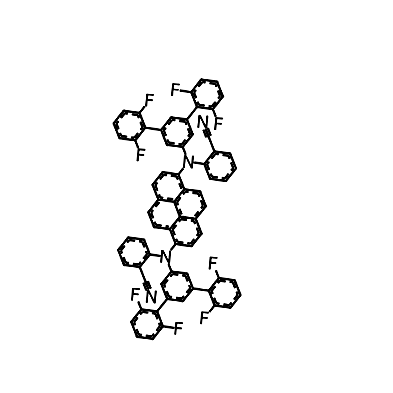 N#Cc1ccccc1N(c1cc(-c2c(F)cccc2F)cc(-c2c(F)cccc2F)c1)c1ccc2ccc3c(N(c4cc(-c5c(F)cccc5F)cc(-c5c(F)cccc5F)c4)c4ccccc4C#N)ccc4ccc1c2c43